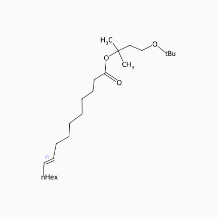 CCCCCC/C=C/CCCCCCCC(=O)OC(C)(C)CCOC(C)(C)C